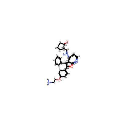 CN(C)CCOc1ccc(-c2oc3nccc(NC[C@H]4CCCC4=O)c3c2-c2ccccc2)cc1